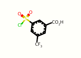 O=C(O)c1cc(C(F)(F)F)cc(S(=O)(=O)Cl)c1